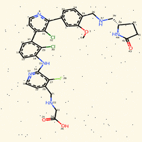 COc1cc(-c2nccc(-c3cccc(Nc4nccc(CNCC(=O)O)c4F)c3Cl)c2Cl)ccc1CNC[C@@H]1CCC(=O)N1